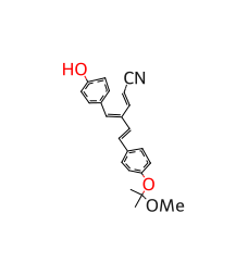 COC(C)(C)Oc1ccc(C=CC(C=CC#N)=Cc2ccc(O)cc2)cc1